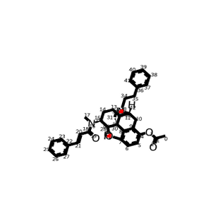 CC(=O)Oc1ccc2c3c1C[C@@H]1[C@@H]4CC[C@H](N(C)C(=O)C=Cc5ccccc5)[C@H](O2)[C@]34CCN1CCc1ccccc1